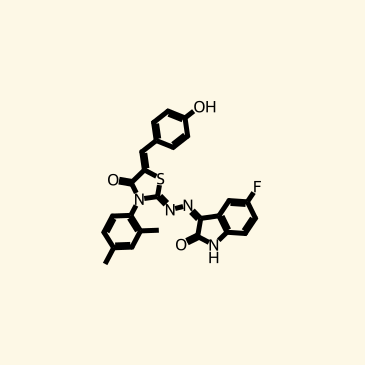 Cc1ccc(N2C(=O)C(=Cc3ccc(O)cc3)SC2=NN=C2C(=O)Nc3ccc(F)cc32)c(C)c1